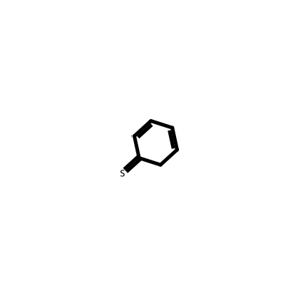 S=C1[C]=CC=CC1